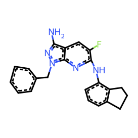 Nc1nn(Cc2ccccc2)c2nc(Nc3cccc4c3CCC4)c(F)cc12